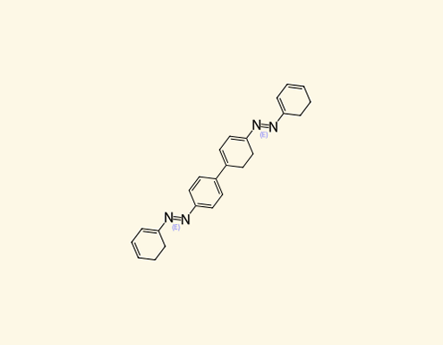 C1=CCCC(/N=N/C2=CC=C(c3ccc(/N=N/C4=CC=CCC4)cc3)CC2)=C1